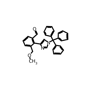 COCc1cccc(C=O)c1-c1cn(C(c2ccccc2)(c2ccccc2)c2ccccc2)cn1